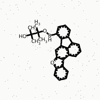 CC(C)(O)C(C)(C)OBc1cccc2c1-c1cc3oc4ccccc4c3c3cccc-2c13